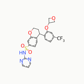 O=S(=O)(Nc1ncccn1)c1ccc2c(c1)OCCC2c1ccc(C(F)(F)F)cc1OC1COC1